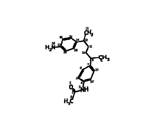 CC(=O)Nc1ccc(C(C)CCC(C)c2ccc(N)cc2)cc1